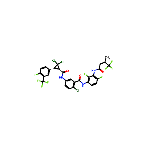 CC(CC(=O)Nc1c(F)ccc(NC(=O)c2cc(NC(=O)[C@H]3[C@H](c4ccc(F)c(C(F)(F)F)c4)C3(Cl)Cl)ccc2Cl)c1F)C(F)(F)F